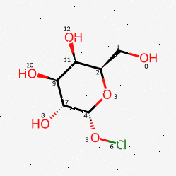 OC[C@H]1O[C@H](OCl)[C@H](O)[C@@H](O)[C@H]1O